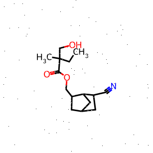 CCC(C)(CO)C(=O)OCC1CC2CC(C#N)C1C2